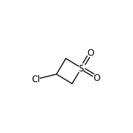 O=S1(=O)CC(Cl)C1